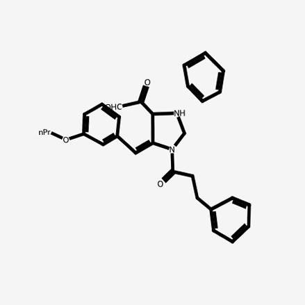 CCCOc1cccc(C=C2C(C(=O)C=O)NCN2C(=O)CCc2ccccc2)c1.c1ccccc1